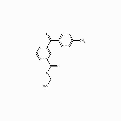 CCOC(=O)c1[c]ccc(C(=O)c2ccc(C)cc2)c1